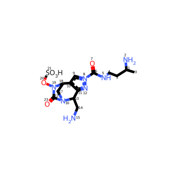 CC(N)CCNC(=O)n1cc2c(n1)C(CN)N1CC2N(OS(=O)(=O)O)C1=O